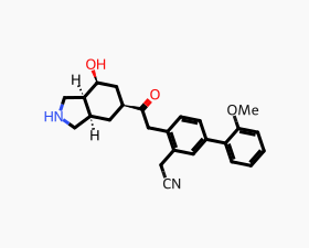 COc1ccccc1-c1ccc(CC(=O)[C@H]2C[C@H]3CNC[C@H]3[C@@H](O)C2)c(CC#N)c1